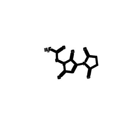 CC(=O)ON1C(=O)C=C(N2C(=O)CCC2=O)C1=O